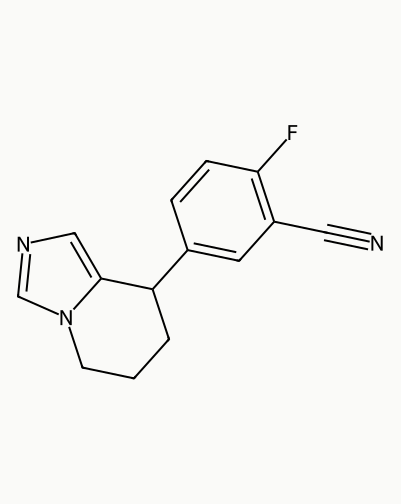 N#Cc1cc(C2CCCn3cncc32)ccc1F